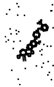 CN(C)c1ccccc1CN1CCN(c2cc3c(cc2F)C(=O)N(C2CCC(=O)NC2=O)C3)CC1